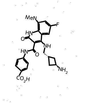 CNc1cc(F)cc2c(NC[C@H]3C[C@H](N)C3)c(C(=O)Nc3ccc(C(=O)O)cc3)c(=O)[nH]c12